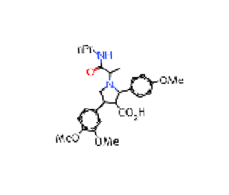 CCCNC(=O)C(C)N1CC(c2ccc(OC)c(OC)c2)C(C(=O)O)C1c1ccc(OC)cc1